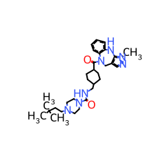 Cn1ncc2c1Nc1ccccc1N(C(=O)C1CCC(CNC(=O)N3CCN(CCC(C)(C)C)CC3)CC1)C2